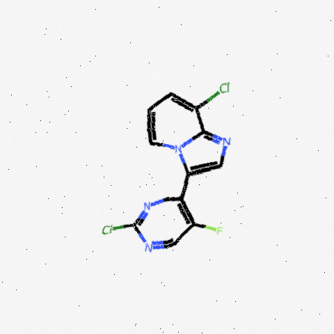 Fc1cnc(Cl)nc1-c1cnc2c(Cl)cccn12